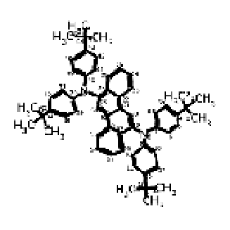 CC(C)(C)c1ccc(N(c2ccc(C(C)(C)C)cc2)c2cc3c4ccccc4c(N(c4ccc(C(C)(C)C)cc4)c4ccc(C(C)(C)C)cc4)cc3c3ccccc23)cc1